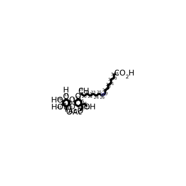 CC(=O)OCC1C[C@@H](OC2C(O)CC(CO)(COC(C)=O)C[C@H]2OC(C)CCCCCC/C=C\CCCCCCCC(=O)O)C(O)C(O)[C@@H]1O